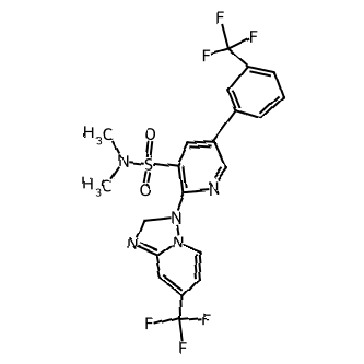 CN(C)S(=O)(=O)c1cc(-c2cccc(C(F)(F)F)c2)cnc1N1CN=C2C=C(C(F)(F)F)C=CN21